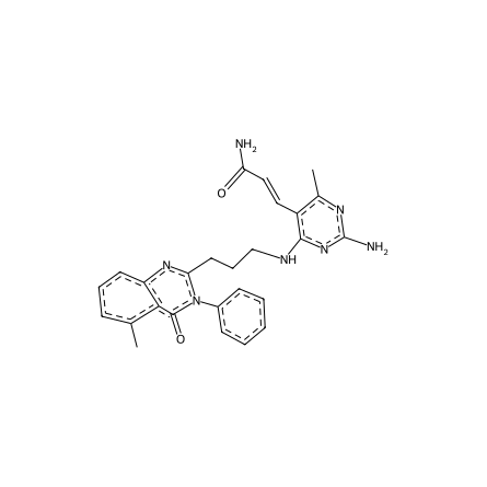 Cc1nc(N)nc(NCCCc2nc3cccc(C)c3c(=O)n2-c2ccccc2)c1/C=C/C(N)=O